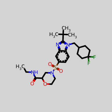 CCNC(=O)C1CN(S(=O)(=O)c2ccc3c(c2)nc(C(C)(C)C)n3CC2CCC(F)(F)CC2)CCO1